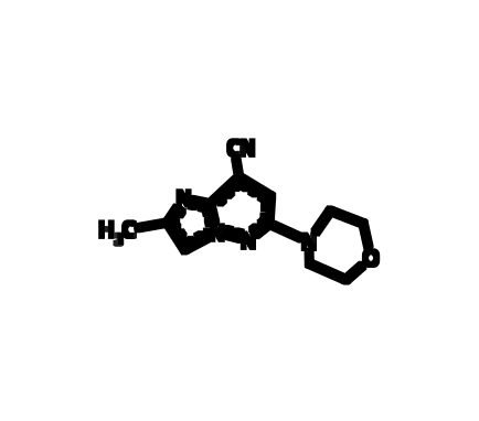 Cc1cn2nc(N3CCOCC3)cc(C#N)c2n1